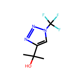 CC(C)(O)c1cn(C(F)(F)F)nn1